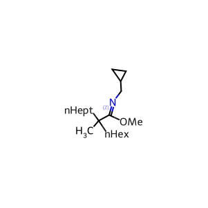 CCCCCCCC(C)(CCCCCC)/C(=N/CC1CC1)OC